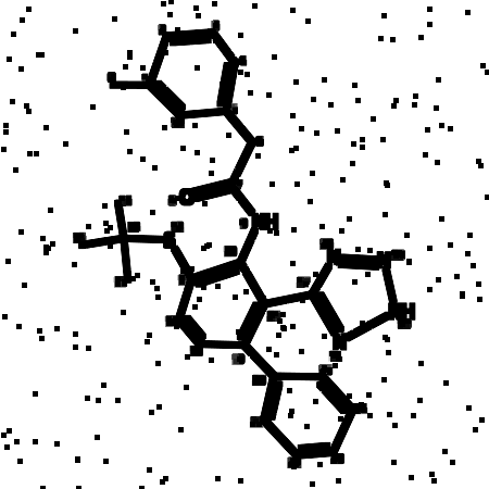 Cc1cccc(CC(=O)Nc2c(SC(C)(C)C)ccc(-c3ccccc3)c2-c2nn[nH]n2)c1